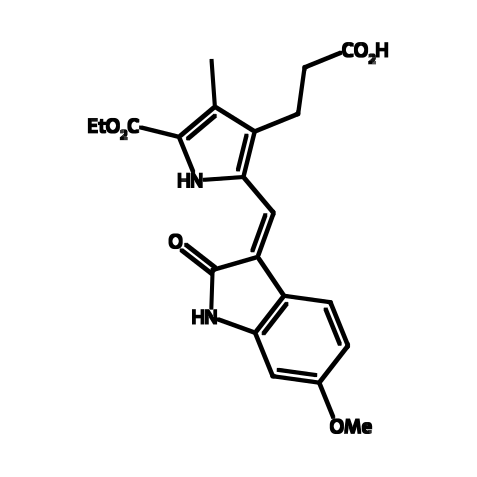 CCOC(=O)c1[nH]c(C=C2C(=O)Nc3cc(OC)ccc32)c(CCC(=O)O)c1C